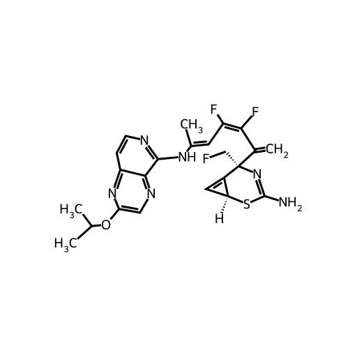 C=C(/C(F)=C(F)\C=C(/C)Nc1nccc2nc(OC(C)C)cnc12)[C@@]1(CF)N=C(N)S[C@H]2C=C21